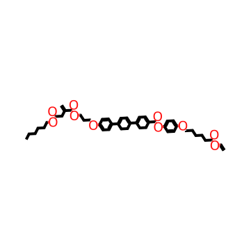 C=COC(=O)CCCCCOc1ccc(OC(=O)C2=CC=C(C3=CC=C(c4ccc(OCCCOC(=O)C(=C)CC(=O)OCCCCCC)cc4)CC3)CC2)cc1